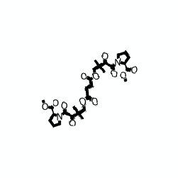 COC(=O)[C@@H]1CCCN1C(=O)C(=O)C(C)(C)COC(=O)/C=C/C(=O)OCC(C)(C)C(=O)C(=O)N1CCC[C@H]1C(=O)OC